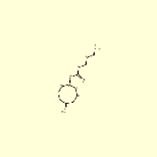 [CH2]CCCCC(=O)OC1CCCC([S])CCC1